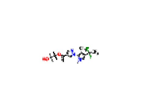 Cn1cc(C(F)(F)C(F)(F)F)c(C(F)(F)F)c1-n1cc(BOC(C)(C)C(C)(C)O)cn1